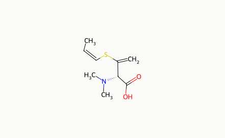 C=C(S/C=C\C)[C@H](C(=O)O)N(C)C